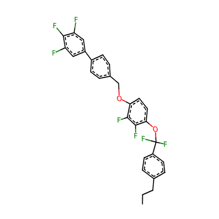 CCCc1ccc(C(F)(F)Oc2ccc(OCc3ccc(-c4cc(F)c(F)c(F)c4)cc3)c(F)c2F)cc1